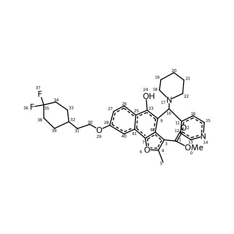 COC(=O)c1c(C)oc2c1c(C(c1ccncc1)N1CCCCC1)c(O)c1ccc(OCCC3CCC(F)(F)CC3)cc12